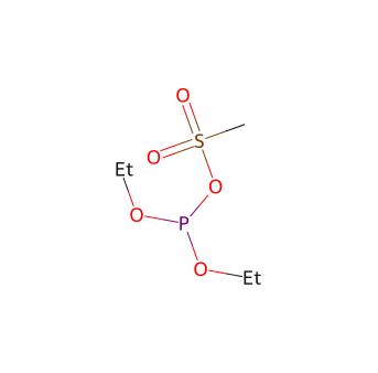 CCOP(OCC)OS(C)(=O)=O